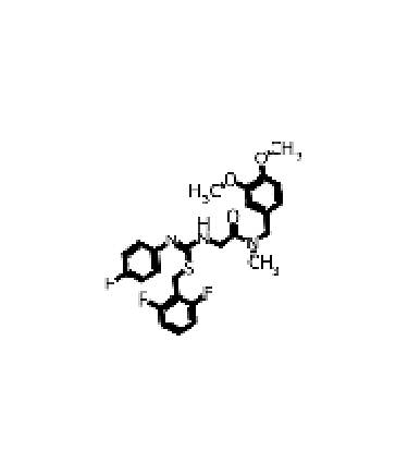 COc1ccc(CN(C)C(=O)CNC(=Nc2ccc(F)cc2)SCc2c(F)cccc2F)cc1OC